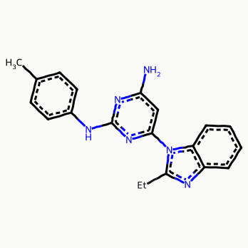 CCc1nc2ccccc2n1-c1cc(N)nc(Nc2ccc(C)cc2)n1